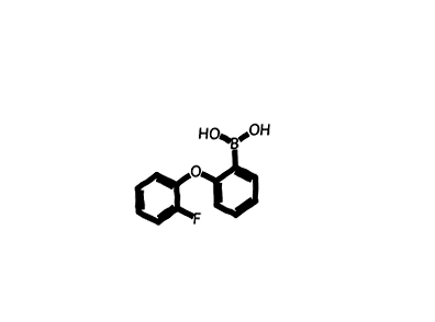 OB(O)c1ccccc1Oc1ccccc1F